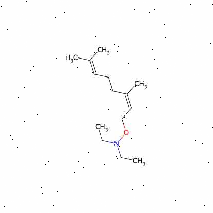 CCN(CC)OCC=C(C)CCC=C(C)C